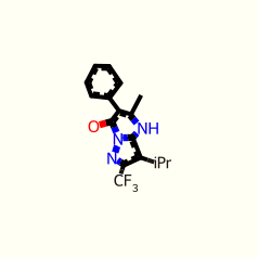 Cc1[nH]c2c(C(C)C)c(C(F)(F)F)nn2c(=O)c1-c1ccccc1